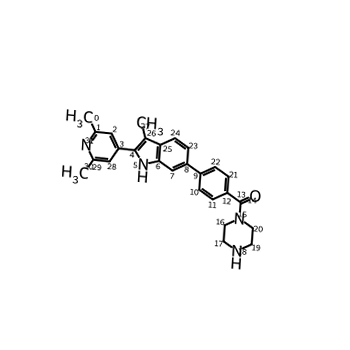 Cc1cc(-c2[nH]c3cc(-c4ccc(C(=O)N5CCNCC5)cc4)ccc3c2C)cc(C)n1